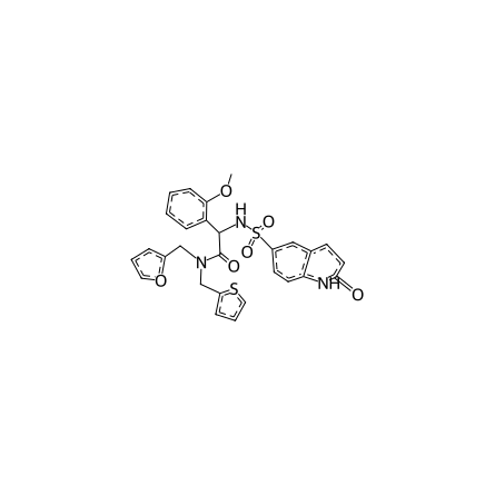 COc1ccccc1C(NS(=O)(=O)c1ccc2[nH]c(=O)ccc2c1)C(=O)N(Cc1ccco1)Cc1cccs1